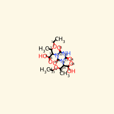 CCOC(C)C(C(=O)O)n1c(=O)[nH]c(=O)n(C(C(=O)O)C(C)OCC)c1=O